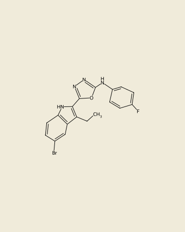 CCc1c(-c2nnc(Nc3ccc(F)cc3)o2)[nH]c2ccc(Br)cc12